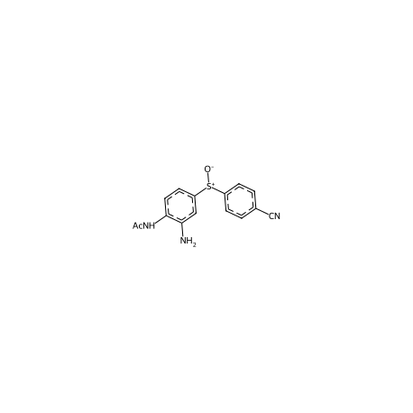 CC(=O)Nc1ccc([S+]([O-])c2ccc(C#N)cc2)cc1N